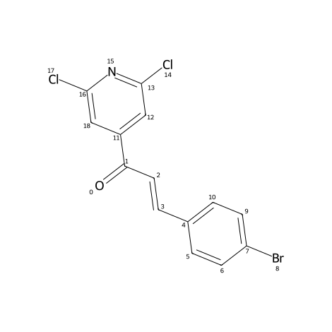 O=C(C=Cc1ccc(Br)cc1)c1cc(Cl)nc(Cl)c1